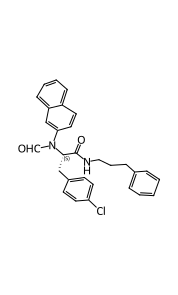 O=CN(c1ccc2ccccc2c1)[C@@H](Cc1ccc(Cl)cc1)C(=O)NCCCc1ccccc1